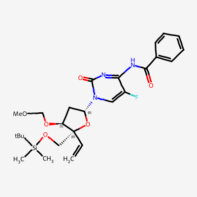 C=C[C@]1(CO[Si](C)(C)C(C)(C)C)O[C@@H](n2cc(F)c(NC(=O)c3ccccc3)nc2=O)C[C@@H]1OCOC